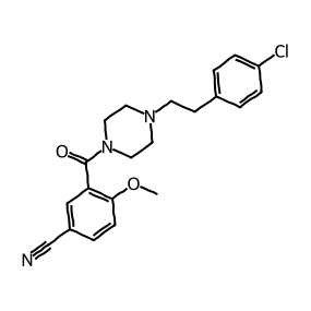 COc1ccc(C#N)cc1C(=O)N1CCN(CCc2ccc(Cl)cc2)CC1